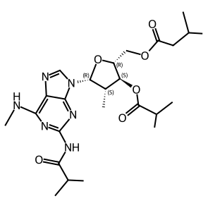 CNc1nc(NC(=O)C(C)C)nc2c1ncn2[C@@H]1O[C@H](COC(=O)CC(C)C)[C@@H](OC(=O)C(C)C)[C@@H]1C